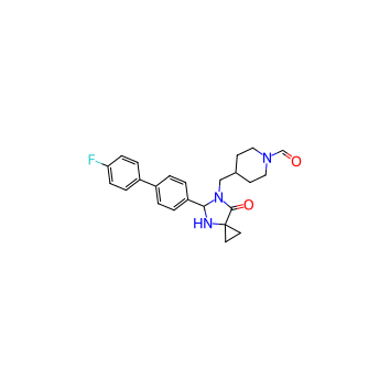 O=CN1CCC(CN2C(=O)C3(CC3)NC2c2ccc(-c3ccc(F)cc3)cc2)CC1